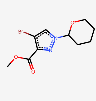 COC(=O)c1nn(C2CCCCO2)cc1Br